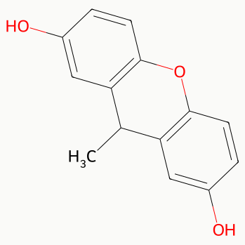 CC1c2cc(O)ccc2Oc2ccc(O)cc21